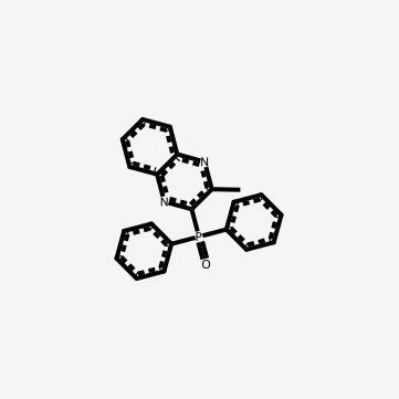 Cc1nc2ccccc2nc1P(=O)(c1ccccc1)c1ccccc1